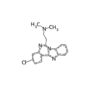 CN(C)CCc1nc2cc(Cl)ccc2c2nc3ccccc3n12